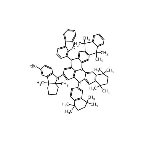 CC(C)(C)c1ccc2c(c1)C1(C)CCCCC1(C)N2c1cc2c3c(c1)N(c1cccc4c1oc1ccccc14)c1cc4c(cc1B3c1cc3c(cc1N2c1ccc2c(c1)C(C)(C)CCC2(C)C)C(C)(C)CCC3(C)C)C(C)(C)c1ccccc1C4(C)C